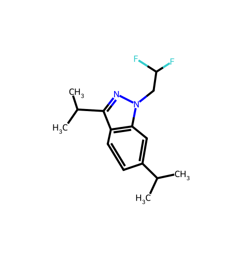 CC(C)c1ccc2c(C(C)C)nn(CC(F)F)c2c1